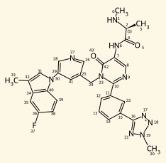 CN[C@@H](C)C(=O)Nc1cnc(-c2cccc(-c3nnn(C)n3)c2)n(Cc2cncc(-n3cc(C)c4cc(F)ccc43)c2)c1=O